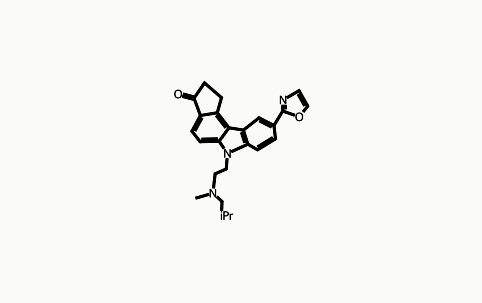 CC(C)CN(C)CCn1c2ccc(-c3ncco3)cc2c2c3c(ccc21)C(=O)CC3